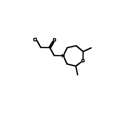 CC1CCN(CC(=O)CCl)CC(C)O1